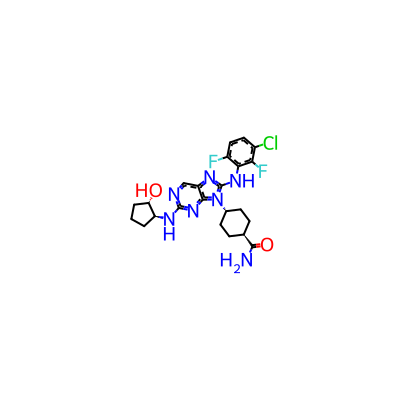 NC(=O)[C@H]1CC[C@H](n2c(Nc3c(F)ccc(Cl)c3F)nc3cnc(N[C@H]4CCC[C@@H]4O)nc32)CC1